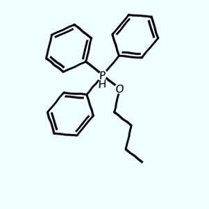 CCCCO[PH](c1ccccc1)(c1ccccc1)c1ccccc1